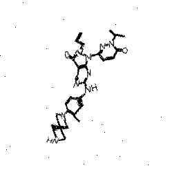 C=CCn1c(=O)c2cnc(Nc3ccc(N4CC5(CNC5)C4)c(C)c3)nc2n1-c1ccc(=O)n(C(C)C)n1